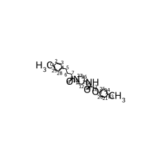 Cc1ccc(CCCC(=O)N2CCC(NC(=O)COc3ccc(C)cc3)CC2)cc1